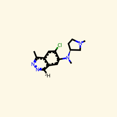 [2H]c1nnc(C)c2cc(Cl)c(N(C)[C@H]3CCN(C)C3)cc12